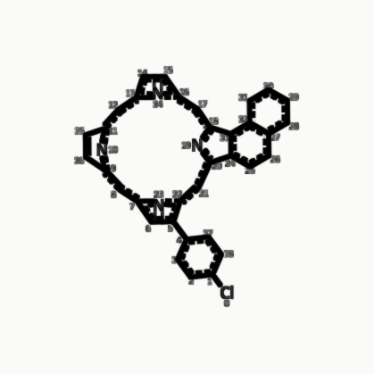 Clc1ccc(-c2cc3cc4nc(cc5ccc(cc6nc(cc2[nH]3)-c2ccc3ccccc3c2-6)[nH]5)C=C4)cc1